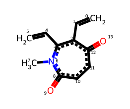 C=Cc1c(C=C)n(C)c(=O)ccc1=O